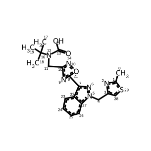 Cc1nc(Cn2nc(-c3nc(CN(C(=O)O)C(C)(C)C)no3)c3ccccc32)cs1